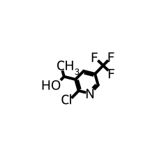 CC(O)c1cc(C(F)(F)F)cnc1Cl